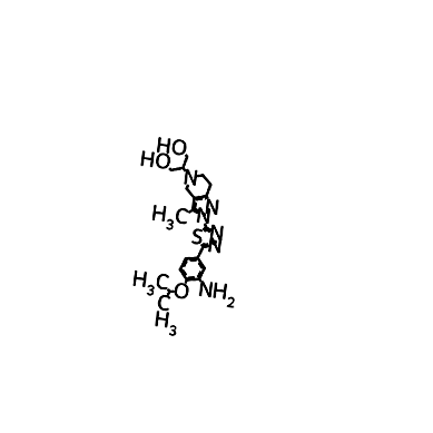 Cc1c2c(nn1-c1nnc(-c3ccc(OC(C)C)c(N)c3)s1)CCN(C(CO)CO)C2